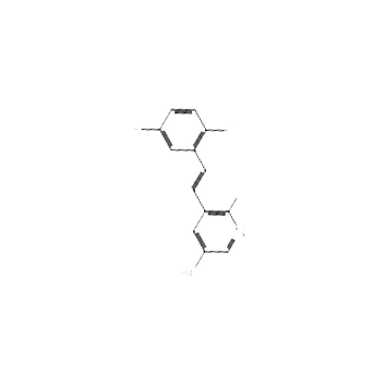 Fc1ccc(F)c(/C=C/c2cc(Br)cnc2F)c1